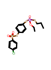 CCCSP(=O)(OCC)Sc1ccc(SS(=O)(=O)c2ccc(Cl)cc2)cc1